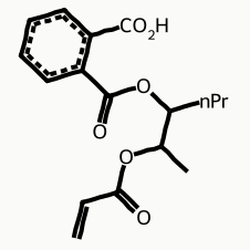 C=CC(=O)OC(C)C(CCC)OC(=O)c1ccccc1C(=O)O